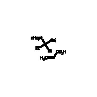 C=CC(=O)O.CCCCCCC[C]([Sn])(CC)CC